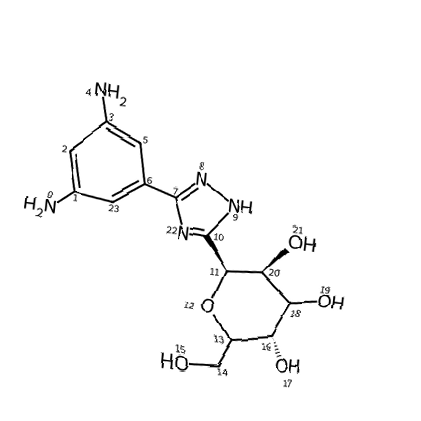 Nc1cc(N)cc(-c2n[nH]c([C@@H]3OC(CO)[C@@H](O)C(O)[C@@H]3O)n2)c1